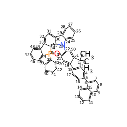 CC1(C)c2cc(-c3cccc4ccccc34)ccc2-c2ccc(-n3c4ccccc4c4ccc5c(c43)P(=O)(c3ccccc3)c3ccccc3-5)cc21